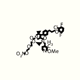 COc1nccc(CN(C(=O)C2=C(c3ccc(CCCOc4c(F)ccc(F)c4Cl)cc3)C3(CC3)CN(C(=O)OCCOCCO[N+](=O)[O-])C2)C2CC2)c1C